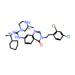 C[C@H]1CN(/C(=N/[C@H](C)C2CCCCC2)Nc2ccc3c(=O)n(CCc4ccc(Cl)cc4Cl)cnc3c2)CCN1